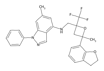 Cc1cc(NCC2(C(F)(F)F)CC(C)(c3cccc4c3OCC4)O2)c2cnn(-c3ccccc3)c2c1